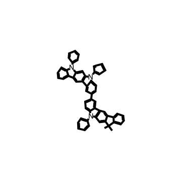 CC1(C)c2ccccc2-c2cc3c4cc(-c5ccc6c(c5)c5cc7c8ccccc8n(-c8ccccc8)c7cc5n6-c5ccccc5)ccc4n(-c4ccccc4)c3cc21